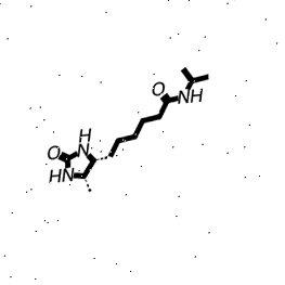 CC(C)NC(=O)CCCCC[C@H]1NC(=O)N[C@H]1C